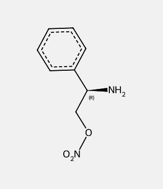 N[C@@H](CO[N+](=O)[O-])c1ccccc1